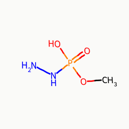 COP(=O)(O)NN